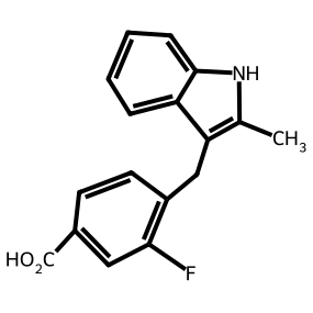 Cc1[nH]c2ccccc2c1Cc1ccc(C(=O)O)cc1F